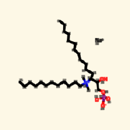 CCCCCCCCCCCCC(C(O)COP(=O)([O-])[O-])[N+](C)(C)CCCCCCCCCCCC.[Na+]